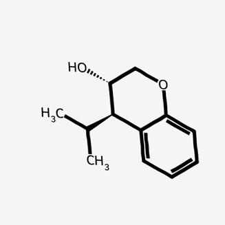 CC(C)[C@@H]1c2ccccc2OC[C@H]1O